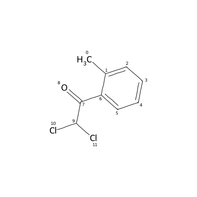 Cc1ccccc1C(=O)C(Cl)Cl